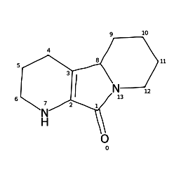 O=C1C2=C(CCCN2)C2CCCCN12